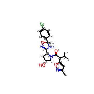 Cc1cc(C(C(=O)N2C[C@H](O)C[C@H]2C2=NO[C@](C)(c3ccc(Br)cc3)N2)C(C)C)on1